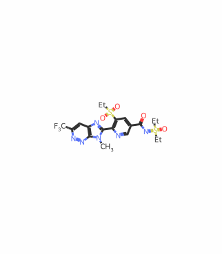 CCS(=O)(=O)c1cc(C(=O)N=S(=O)(CC)CC)cnc1-c1nc2cc(C(F)(F)F)nnc2n1C